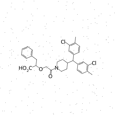 Cc1ccc(C(c2ccc(C)c(Cl)c2)C2CCN(C(=O)COC(Cc3ccccc3)C(=O)O)CC2)cc1Cl